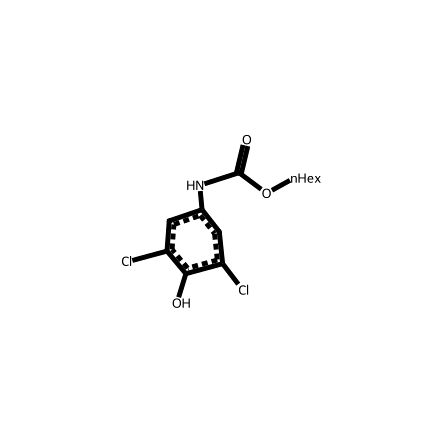 CCCCCCOC(=O)Nc1cc(Cl)c(O)c(Cl)c1